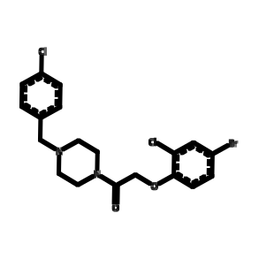 O=C(COc1ccc(Br)cc1Cl)N1CCN(Cc2ccc(Cl)cc2)CC1